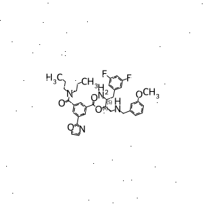 CCCN(CCC)C(=O)c1cc(C(=O)O[C@H](CNCc2cccc(OC)c2)[C@@H](N)Cc2cc(F)cc(F)c2)cc(-c2ncco2)c1